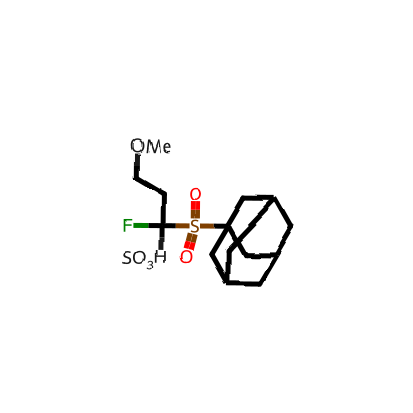 COCCC(F)(S(=O)(=O)O)S(=O)(=O)C12CC3CC(CC(C3)C1)C2